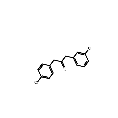 O=C(Cc1ccc(Cl)cc1)Cc1cccc(Cl)c1